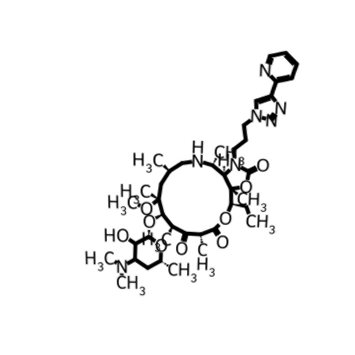 CC[C@H]1OC(=O)[C@H](C)C(=O)[C@@H](C)[C@@H](O[C@@H]2O[C@H](C)CC(N(C)C)C2O)[C@](C)(OC)C[C@@H](C)CN[C@H](C)[C@H]2N(CCCn3cc(-c4ccccn4)nn3)C(=O)O[C@]12C